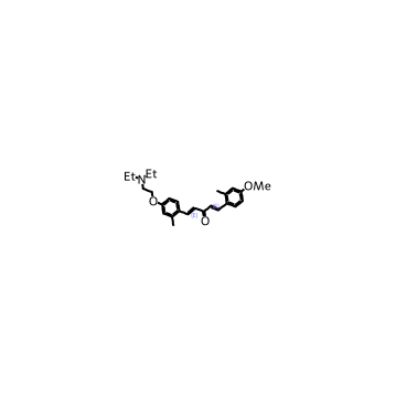 CCN(CC)CCOc1ccc(/C=C/C(=O)/C=C/c2ccc(OC)cc2C)c(C)c1